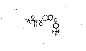 CC(C)(C)OC(=O)NCC(=O)N1CCc2ccc(Oc3ccc(C(F)(F)F)cc3)cc2C1